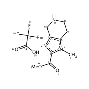 COC(=O)c1nc2c(n1C)CCNC2.O=C(O)C(F)(F)F